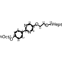 CCCCCCCCOc1ccc(-c2ncc(OCCOCCCCCCC)cn2)cc1